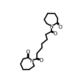 O=C(CCCCCC(=O)N1CCCCCC1=O)N1CCCCCC1=O